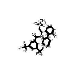 CS(=O)(=O)CCN(C(=O)c1cc(C(F)(F)F)cc(C(F)(F)F)c1)c1cnccc1-c1ccccc1Cl